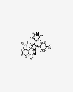 CC(C)c1cccc(C(C)C)c1-c1nc(-c2ccncc2)c(-c2ccc(Cl)cc2)[nH]1